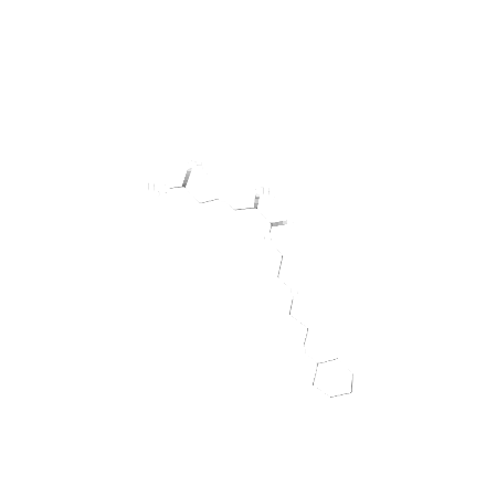 C=C(C)COCC(=C)C(=O)OCCOCCOC1CCCCC1